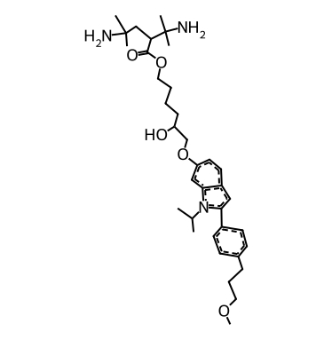 COCCCc1ccc(-c2cc3ccc(OCC(O)CCCCOC(=O)C(CC(C)(C)N)C(C)(C)N)cc3n2C(C)C)cc1